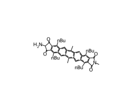 CCCCc1c2c(c(CCCC)c3cc4c(C)c5cc6c(CCCC)c7c(c(CCCC)c6cc5c(C)c4cc13)C(=O)N(C)C7=O)C(=O)C(N)C2=O